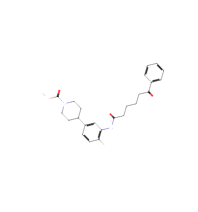 CC(C)(C)OC(=O)N1CCC(c2ccc(F)c(NC(=O)CCCCC(=O)c3ccccc3)c2)CC1